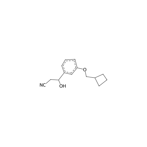 N#CCC(O)c1cccc(OCC2CCC2)c1